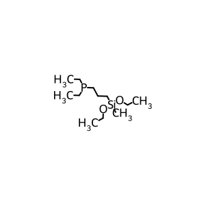 CCO[Si](C)(CCCP(CC)CC)OCC